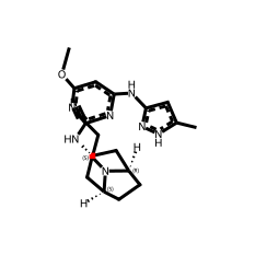 COc1cc(Nc2cc(C)[nH]n2)nc(N[C@@H]2C[C@H]3CC[C@@H](C2)N3CCC#N)n1